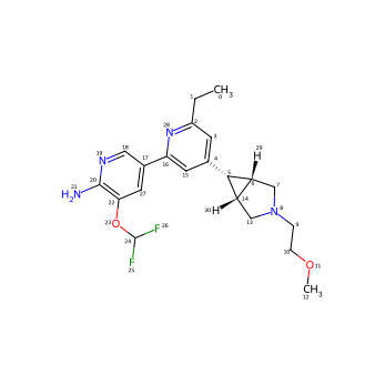 CCc1cc([C@@H]2[C@@H]3CN(CCOC)C[C@@H]32)cc(-c2cnc(N)c(OC(F)F)c2)n1